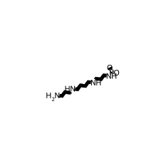 NCCCNCCCCNCCCNP(=O)=O